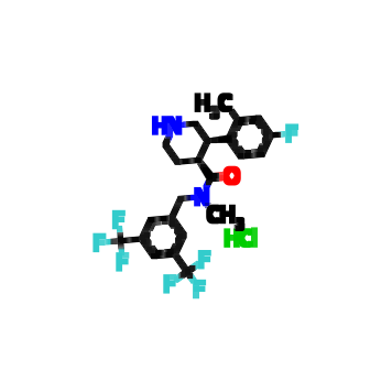 Cc1cc(F)ccc1[C@@H]1CNCC[C@@H]1C(=O)N(C)Cc1cc(C(F)(F)F)cc(C(F)(F)F)c1.Cl